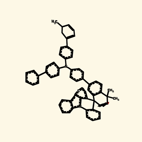 CC1C=CC=C(c2ccc(N(c3ccc(-c4ccccc4)cc3)c3ccc(-c4ccc5c(c4)C4(c6ccccc6-n6c7ccccc7c7cccc4c76)c4ccccc4C5(C)C)cc3)cc2)C1